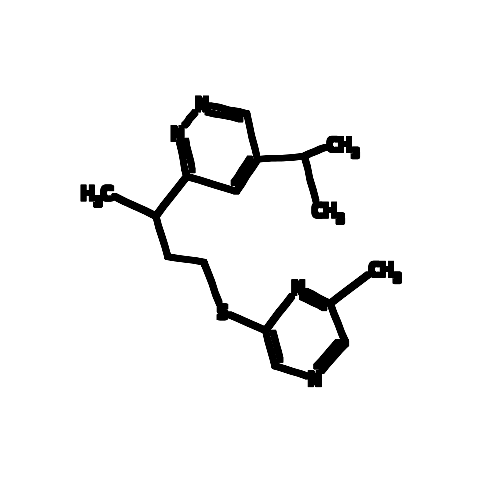 Cc1cncc(SCCC(C)c2cc(C(C)C)cnn2)n1